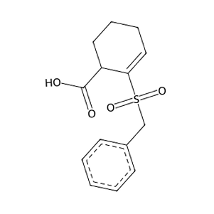 O=C(O)C1CCCC=C1S(=O)(=O)Cc1ccccc1